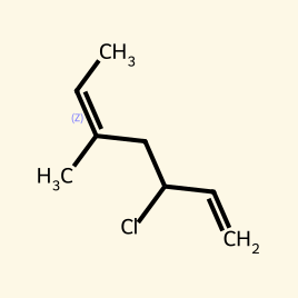 C=CC(Cl)C/C(C)=C\C